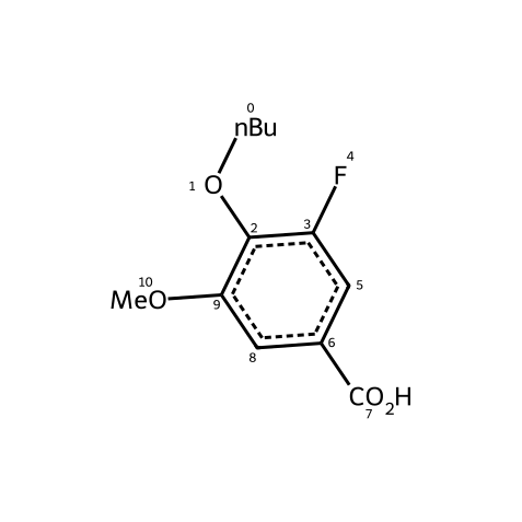 CCCCOc1c(F)cc(C(=O)O)cc1OC